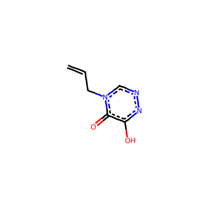 C=CCn1cnnc(O)c1=O